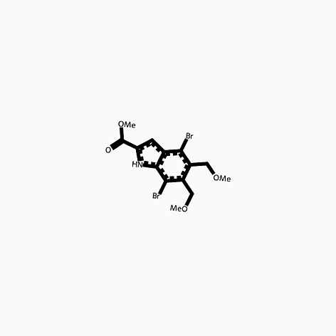 COCc1c(COC)c(Br)c2[nH]c(C(=O)OC)cc2c1Br